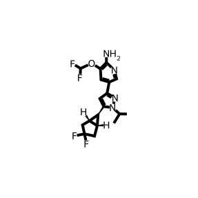 CC(C)n1nc(-c2cnc(N)c(OC(F)F)c2)cc1[C@H]1[C@@H]2CC(F)(F)C[C@@H]21